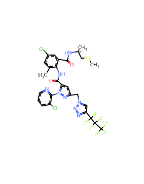 CSC[C@H](C)NC(=O)c1cc(Cl)cc(C)c1NC(=O)c1cc(Cn2cc(C(F)(F)C(F)(F)C(F)(F)F)nn2)nn1-c1ncccc1Cl